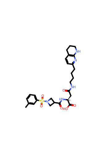 Cc1cccc(S(=O)(=O)N2CC(C(=O)N[C@@H](CC(=O)NCCCCc3ccc4c(n3)NCCC4)C(=O)O)C2)c1